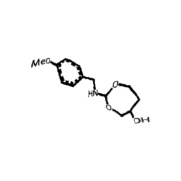 COc1ccc(CNC2OCCC(O)CO2)cc1